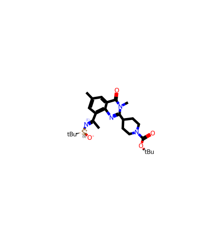 C/C(=N\[S@+]([O-])C(C)(C)C)c1cc(C)cc2c(=O)n(C)c(C3CCN(C(=O)OC(C)(C)C)CC3)nc12